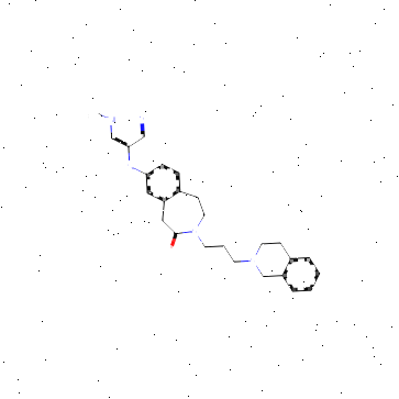 CN/C=C(\C=N)Nc1ccc2c(c1)CC(=O)N(CCCN1CCc3ccccc3C1)CC2